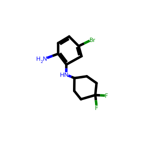 Nc1ccc(Br)cc1NC1CCC(F)(F)CC1